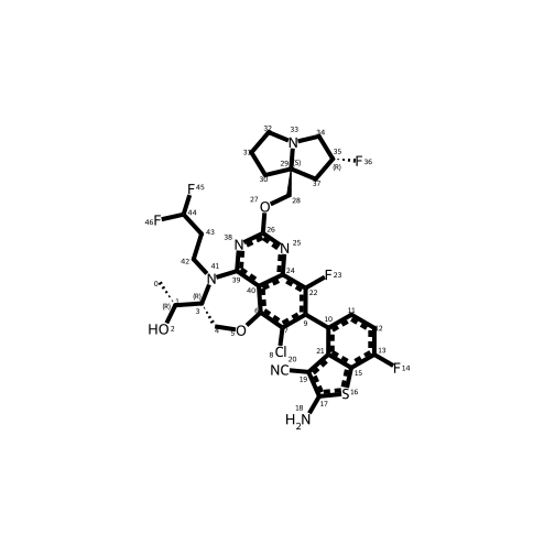 C[C@@H](O)[C@H]1COc2c(Cl)c(-c3ccc(F)c4sc(N)c(C#N)c34)c(F)c3nc(OC[C@@]45CCCN4C[C@H](F)C5)nc(c23)N1CCC(F)F